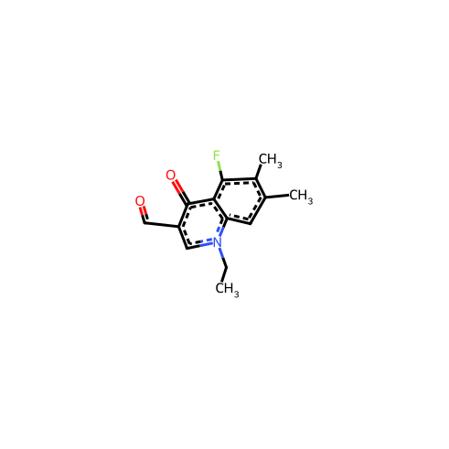 CCn1cc(C=O)c(=O)c2c(F)c(C)c(C)cc21